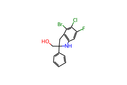 OCC1(c2ccccc2)Cc2c(cc(F)c(Cl)c2Br)N1